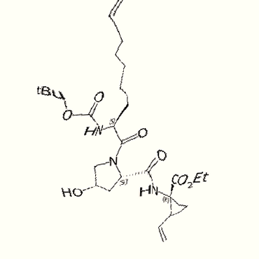 C=CCCCCC[C@H](NC(=O)OC(C)(C)C)C(=O)N1CC(O)C[C@H]1C(=O)N[C@]1(C(=O)OCC)CC1C=C